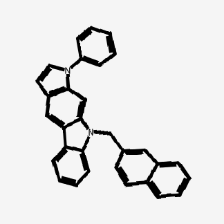 c1ccc(-n2ccc3cc4c5ccccc5n(Cc5ccc6ccccc6c5)c4cc32)cc1